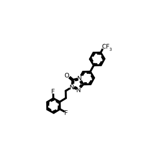 O=c1n(CCc2c(F)cccc2F)nc2ccc(-c3ccc(C(F)(F)F)cc3)cn12